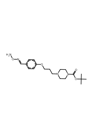 CC(C)(C)OC(=O)N1CCN(CCCOc2ccc(C=NON)cc2)CC1